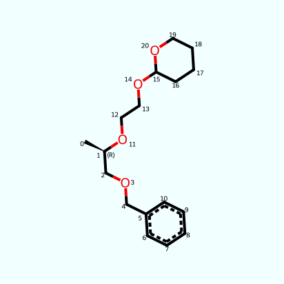 C[C@H](COCc1ccccc1)OCCOC1CCCCO1